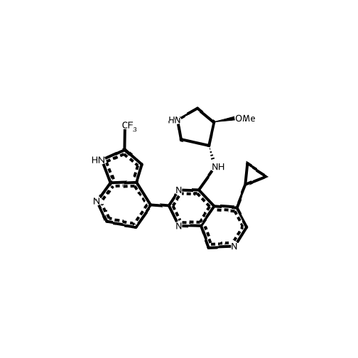 CO[C@@H]1CNC[C@H]1Nc1nc(-c2ccnc3[nH]c(C(F)(F)F)cc23)nc2cncc(C3CC3)c12